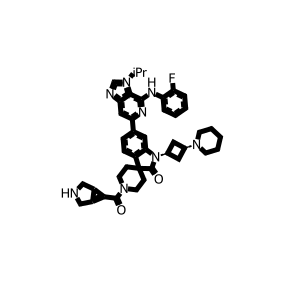 CC(C)n1cnc2cc(-c3ccc4c(c3)N([C@H]3C[C@@H](N5CCCCC5)C3)C(=O)C43CCN(C(=O)C4=C5CNCC54)CC3)nc(Nc3ccccc3F)c21